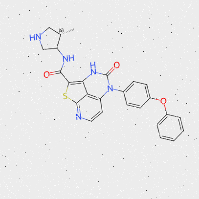 C[C@H]1CNCC1NC(=O)c1sc2nccc3c2c1NC(=O)N3c1ccc(Oc2ccccc2)cc1